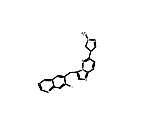 CN1CC(c2ccc3ncc(Cc4cc5cccnc5cc4Cl)n3n2)C=N1